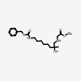 CC(O)(CCCCCCNC(=O)OCc1ccccc1)CNCC(=O)OC(C)(C)C